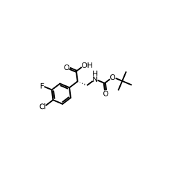 CC(C)(C)OC(=O)NC[C@@H](C(=O)O)c1ccc(Cl)c(F)c1